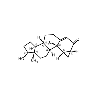 C[C@]12CC[C@H]3[C@@H](CCC4=CC(=O)[C@@H]5C[C@@H]5[C@@]43C)[C@@H]1CC[C@@H]2O